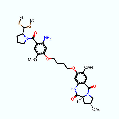 CCSC(SCC)[C@@H]1CCCN1C(=O)c1cc(OC)c(OCCCCOc2cc3c(cc2OC)C(=O)N2C[C@H](OC(C)=O)C[C@H]2C(=O)N3)cc1N